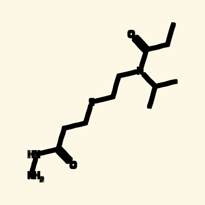 CCC(=O)N(CCSCCC(=O)NN)C(C)C